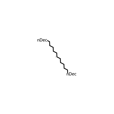 CCCCCCCCCCCCCCC[CH]CCCCCCCCCCCCCCC